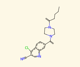 C=C(CCCC)N1CCN(C(=C)c2ccc3c(Cl)c(C#N)cnc3c2)CC1